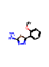 CCCOc1ccccc1-c1nnc(NN)s1